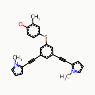 Cc1cc(Sc2cc(C#Cc3cccn3C)cc(C#Cc3cccn3C)c2)ccc1[O]